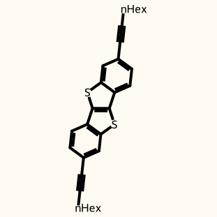 CCCCCCC#Cc1ccc2c(c1)sc1c3ccc(C#CCCCCCC)cc3sc21